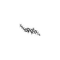 C=CCCc1ccc(-c2c(F)cc(-c3ccc4cc(CCCCCC)ccc4c3F)cc2F)cc1